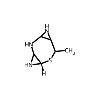 CC1S[C@@H]2NC2NC2NC21